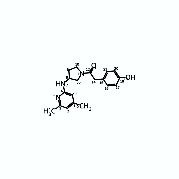 Cc1cc(C)nc(NC2CCN(C(=O)Cc3ccc(O)cc3)C2)c1